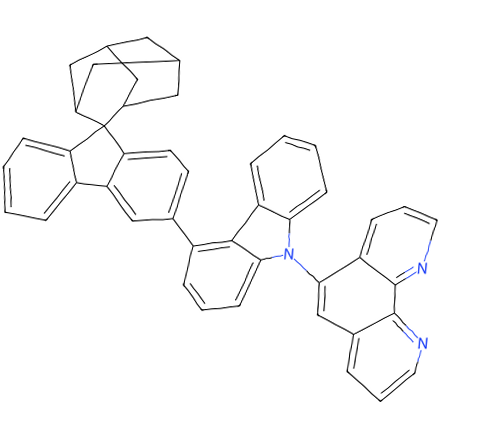 c1ccc2c(c1)-c1cc(-c3cccc4c3c3ccccc3n4-c3cc4cccnc4c4ncccc34)ccc1C21C2CC3CC(C2)CC1C3